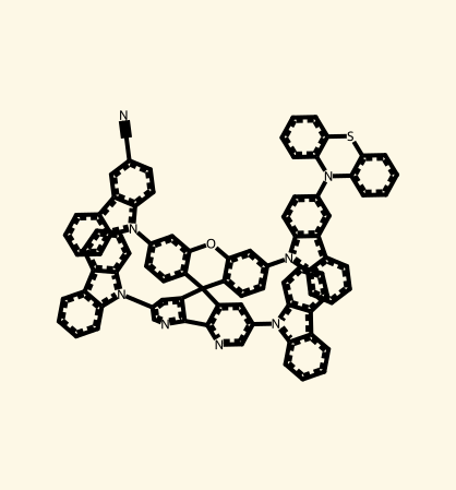 N#Cc1ccc2c(c1)c1ccccc1n2-c1ccc2c(c1)Oc1cc(-n3c4ccccc4c4cc(N5c6ccccc6Sc6ccccc65)ccc43)ccc1C21c2cc(-n3c4ccccc4c4ccccc43)cnc2-c2ncc(-n3c4ccccc4c4ccccc43)cc21